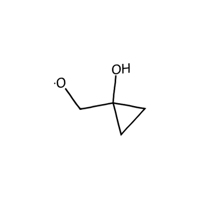 [O]CC1(O)CC1